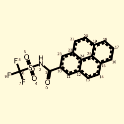 O=C(NS(=O)(=O)C(F)(F)F)c1cc2ccc3cccc4ccc(c1)c2c34